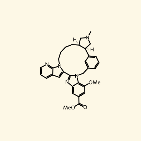 COC(=O)c1cc(OC)c2c(c1)nc1n2Cc2cccc(c2)[C@@H]2CN(C)C[C@@H]2CCCCn2c-1cc1cccnc12